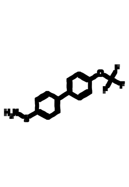 NSc1ccc(-c2ccc(OC(F)(F)F)cc2)cc1